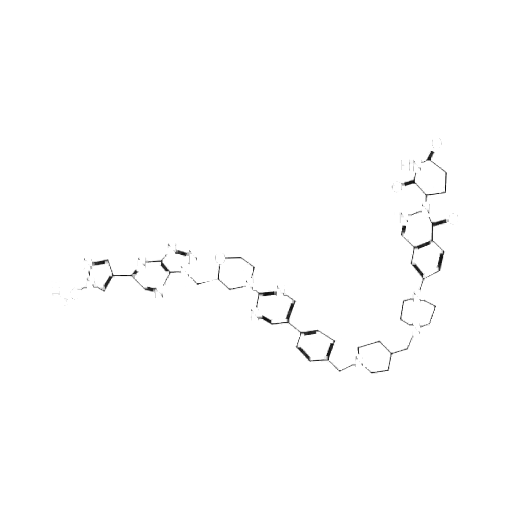 Cn1cc(-c2cnc3c(nnn3C[C@@H]3CN(c4ncc(-c5ccc(CN6CCC(CN7CCN(c8ccc9c(=O)n(C%10CCC(=O)NC%10=O)ncc9c8)CC7)CC6)cc5)cn4)CCO3)n2)cn1